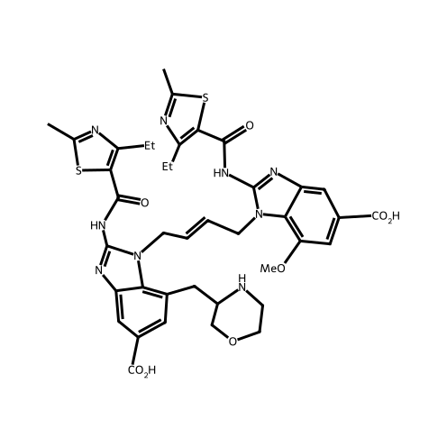 CCc1nc(C)sc1C(=O)Nc1nc2cc(C(=O)O)cc(CC3COCCN3)c2n1C/C=C/Cn1c(NC(=O)c2sc(C)nc2CC)nc2cc(C(=O)O)cc(OC)c21